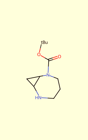 CC(C)(C)OC(=O)N1CCCNC2CC21